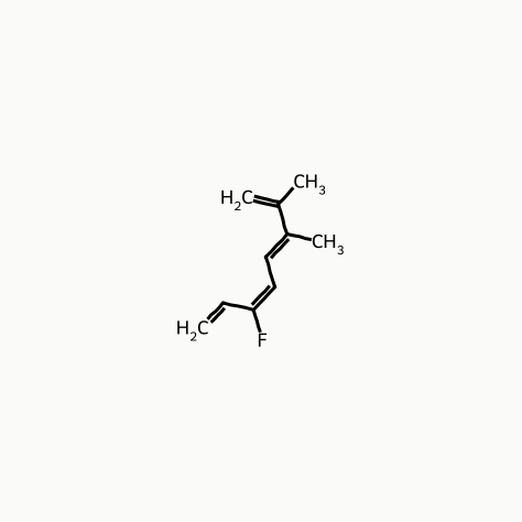 C=C/C(F)=C\C=C(/C)C(=C)C